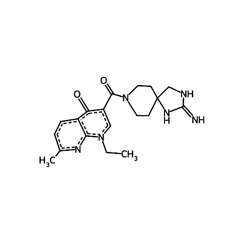 CCn1cc(C(=O)N2CCC3(CC2)CNC(=N)N3)c(=O)c2ccc(C)nc21